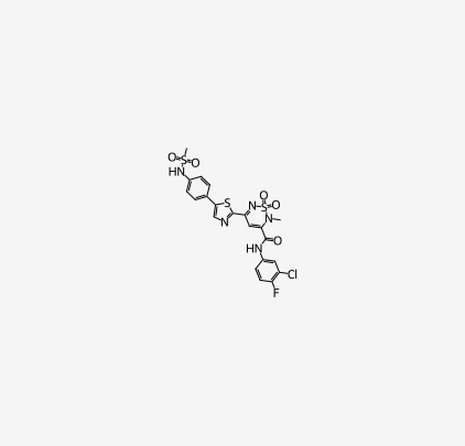 CN1C(C(=O)Nc2ccc(F)c(Cl)c2)=CC(c2ncc(-c3ccc(NS(C)(=O)=O)cc3)s2)=NS1(=O)=O